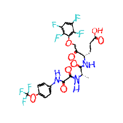 C[C@H](NC(=O)C(=O)Nc1ccc(OC(F)(F)F)cc1)C(=O)N[C@@H](CCC(=O)O)C(=O)COc1c(F)c(F)cc(F)c1F